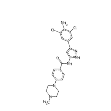 CN1CCN(c2ccc(C(=O)Nc3cc(-c4cc(Cl)c(N)c(Cl)c4)n[nH]3)cc2)CC1